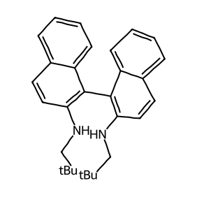 CC(C)(C)CNc1ccc2ccccc2c1-c1c(NCC(C)(C)C)ccc2ccccc12